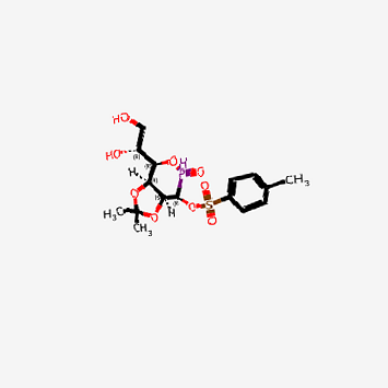 Cc1ccc(S(=O)(=O)O[C@H]2[C@H]3OC(C)(C)O[C@H]3[C@@H]([C@H](O)CO)O[PH]2=O)cc1